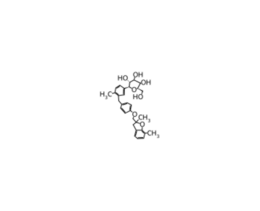 Cc1ccc([C@@H]2O[C@H](CO)[C@@H](O)[C@H](O)[C@H]2O)cc1Cc1ccc(OCC2(C)Cc3cccc(C)c3O2)cc1